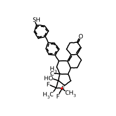 CC(F)(F)C(C)(F)C1(O)CCC2C3CCC4=CC(=O)CCC4=C3C(c3ccc(-c4ccc(S)cc4)cc3)CC21C